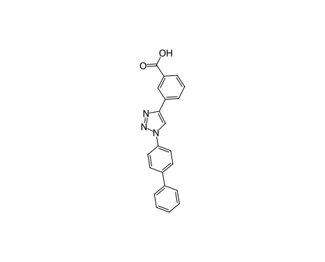 O=C(O)c1cccc(-c2cn(-c3ccc(-c4ccccc4)cc3)nn2)c1